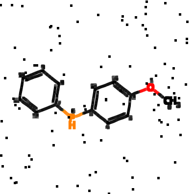 COc1ccc(Pc2ccccc2)cc1